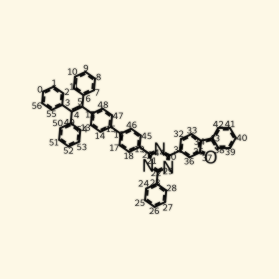 c1ccc(C(=C(c2ccccc2)c2ccc(-c3ccc(-c4nc(-c5ccccc5)nc(-c5ccc6c(c5)oc5ccccc56)n4)cc3)cc2)c2ccccc2)cc1